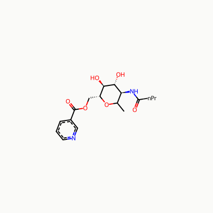 CCCC(=O)N[C@H]1C(C)O[C@H](COC(=O)c2cccnc2)[C@@H](O)[C@@H]1O